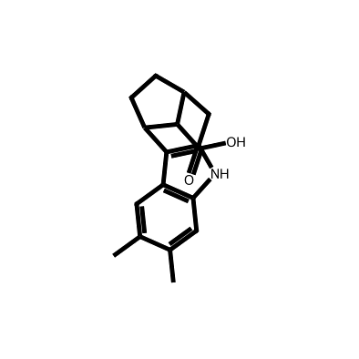 Cc1cc2[nH]c3c(c2cc1C)C1CCC(C3)C1C(=O)O